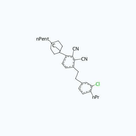 CCCCCC12CCC(c3ccc(CCc4ccc(CCC)c(Cl)c4)c(C#N)c3C#N)(CC1)CC2